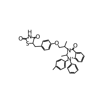 Cc1ccc([N+]2(c3ccccc3)c3ccccc3C(=O)N(C(C)COc3ccc(CC4SC(=O)NC4=O)cc3)C2C)cc1